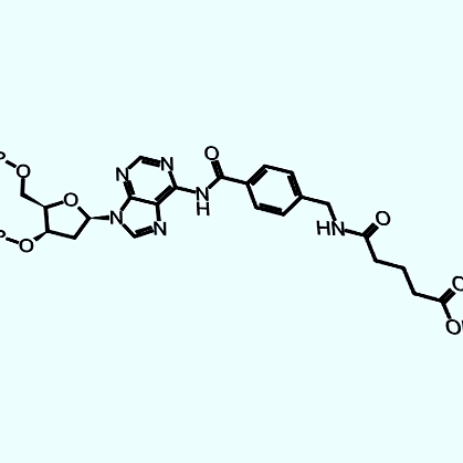 O=C(O)CCCC(=O)NCc1ccc(C(=O)Nc2ncnc3c2ncn3[C@H]2C[C@@H](OP)[C@@H](COP)O2)cc1